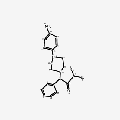 CCN(CC)C(=O)C(c1ccccc1)N1CCN(c2ccc(N)cn2)CC1